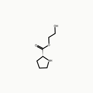 O=C(OCCO)[C@H]1CCCN1